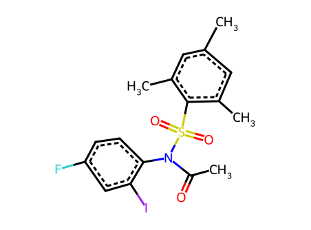 CC(=O)N(c1ccc(F)cc1I)S(=O)(=O)c1c(C)cc(C)cc1C